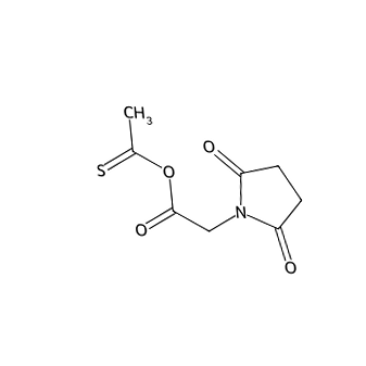 CC(=S)OC(=O)CN1C(=O)CCC1=O